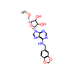 CCCOC[C@H]1O[C@@H](n2cnc3c(NCc4ccc5c(c4)OCO5)ncnc32)C(O)C1O